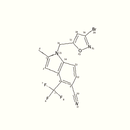 Cc1cc2c(C(F)(F)F)c(C#N)ccc2n1Cc1cc(Br)no1